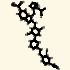 CC(=O)N1CC2CC1(Cn1c(Cc3cc(F)c(-c4cccc(OCc5ccc(C#N)cc5F)n4)cc3F)nc3ccc(C(=O)O)cc31)C2